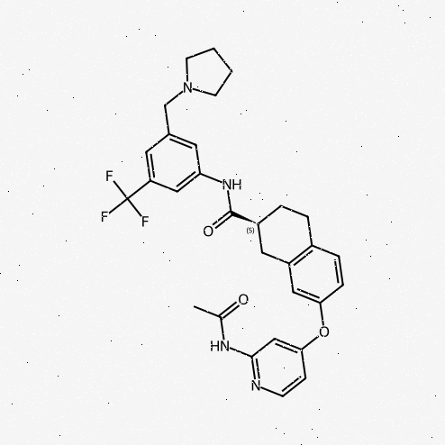 CC(=O)Nc1cc(Oc2ccc3c(c2)C[C@@H](C(=O)Nc2cc(CN4CCCC4)cc(C(F)(F)F)c2)CC3)ccn1